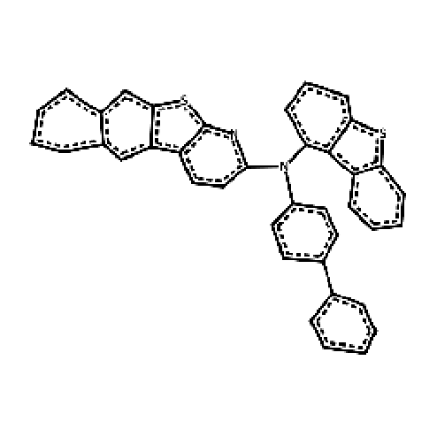 c1ccc(-c2ccc(N(c3ccc4c(n3)sc3cc5ccccc5cc34)c3cccc4sc5ccccc5c34)cc2)cc1